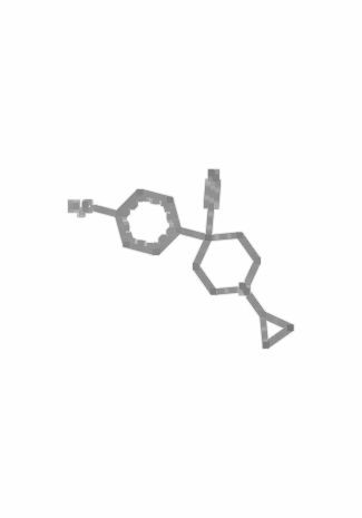 Cc1ccc(C2(C#N)CCN(C3CC3)CC2)cc1